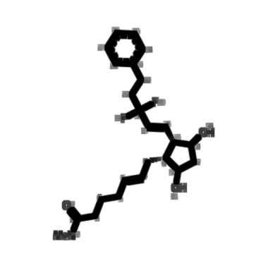 CNC(=O)CCC/C=C/C[C@H]1C(O)CC(O)[C@@H]1/C=C/C(F)(F)CCc1ccccc1